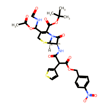 CC(=O)OC(NC=O)C1=C(C(=O)OC(C)(C)C)N2C(=O)[C@@H](NC(=O)C(C(=O)OCc3ccc([N+](=O)[O-])cc3)c3ccsc3)[C@H]2SC1